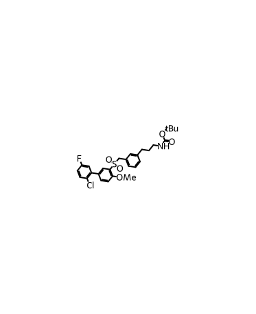 COc1ccc(-c2cc(F)ccc2Cl)cc1S(=O)(=O)Cc1cccc(CCCNC(=O)OC(C)(C)C)c1